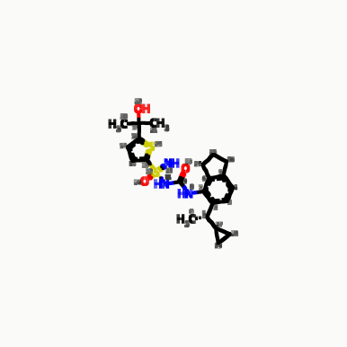 C[C@H](c1ccc2c(c1NC(=O)N[S@@](=N)(=O)c1ccc(C(C)(C)O)s1)CCC2)C1CC1